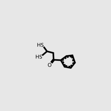 O=C(CC(S)S)c1ccccc1